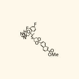 COC(=O)c1ccc2cc(C3OCC(S[C@H](C)[C@](O)(Cn4cncn4)c4ccc(F)cc4F)CO3)ccc2c1